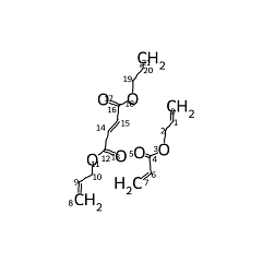 C=CCOC(=O)C=C.C=CCOC(=O)C=CC(=O)OCC=C